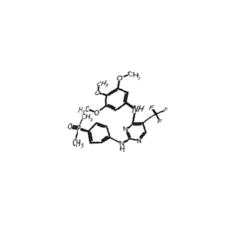 COc1cc(Nc2nc(Nc3ccc(P(C)(C)=O)cc3)ncc2C(F)(F)F)cc(OC)c1OC